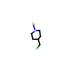 CC(=O)N1CCC(CCl)CC1